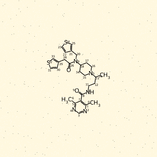 Cc1ncnc(C)c1C(=O)NCCC(C)N1CCC(N(Cc2ccsc2)C(=O)Cc2ccsc2)CC1